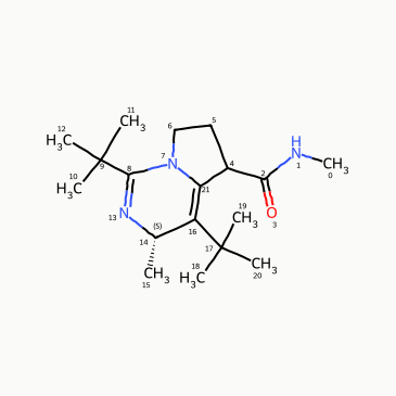 CNC(=O)C1CCN2C(C(C)(C)C)=N[C@@H](C)C(C(C)(C)C)=C12